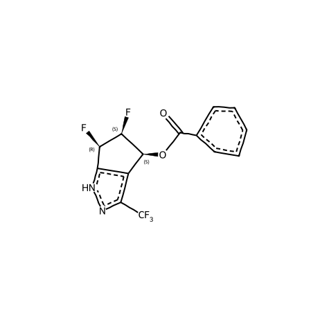 O=C(O[C@H]1c2c(C(F)(F)F)n[nH]c2[C@@H](F)[C@H]1F)c1ccccc1